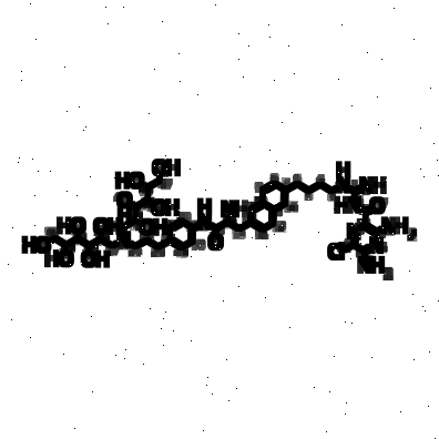 N=C(NCCCCc1ccc2cc(C[C@H](N)C(=O)Nc3ccc(CCCN(C[C@H](O)[C@@H](O)[C@H](O)[C@H](O)CO)C[C@H](O)[C@@H](O)[C@H](O)[C@H](O)CO)cc3)ccc2c1)NC(=O)c1nc(Cl)c(N)nc1N